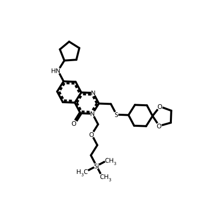 C[Si](C)(C)CCOCn1c(CSC2CCC3(CC2)OCCO3)nc2cc(NC3CCCC3)ccc2c1=O